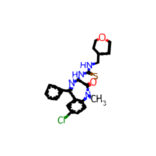 CN1C(=O)C(NC(=S)NCC2CCOCC2)N=C(c2ccccc2)c2cc(Cl)ccc21